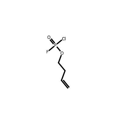 C=CCCOP(=O)(F)Cl